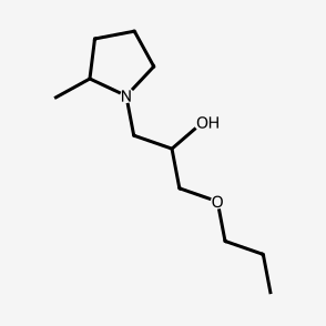 CCCOCC(O)CN1CCCC1C